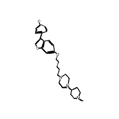 CN1CCC(N2CCN(CCCCCOc3ccc4c(-c5ccc(Cl)cc5)coc4c3)CC2)CC1